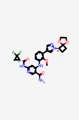 COc1c(Nc2cc(NC(=O)[C@@H]3CC3(F)F)ncc2C(N)=O)cccc1-c1cnn([C@@H]2CCC23OCCO3)c1